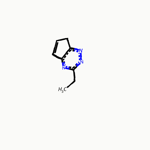 CCc1nnc2c(n1)C=CC2